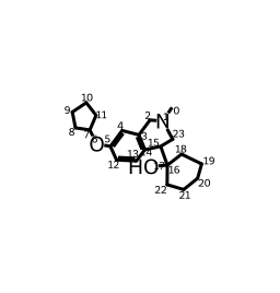 CN1Cc2cc(OC3CCCC3)ccc2C(C2(O)CCCCC2)C1